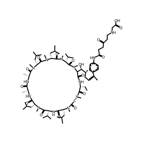 CC[C@H]1NC(=O)C([C@@H](O)[C@@H](C)C/C=C(/C)c2ccc(NC(=O)CCC(=O)CCNCC(=O)O)cc2)N(C)C(=O)[C@@H](C(C)C)N(C)C(=O)[C@@H](CC(C)C)N(C)C(=O)[C@@H](CC(C)C)N(C)C(=O)[C@@H](C)NC(=O)[C@@H](C)NC(=O)[C@@H](CC(C)C)N(C)C(=O)[C@@H](C(C)C)NC(=O)[C@@H](CC(C)C)N(C)C(=O)CN(C)C1=O